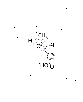 CC(C)OC(=O)/C(C#N)=C/c1cccc(C(=O)O)c1